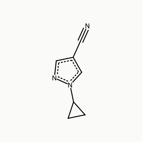 N#Cc1cnn(C2CC2)c1